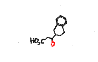 O=C(O)CC(=O)C1CCc2ccccc2C1